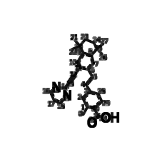 Cc1cc(C=Cc2cc3c(cc2C#Cc2ncccn2)C(C)(C)CCC3(C)C)ccc1C(=O)O